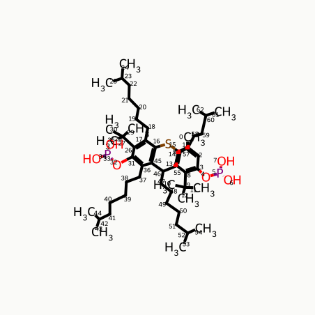 Cc1cc(OP(O)O)c(C(C)(C)C)cc1Sc1c(CCCCCC(C)C)c(C(C)(C)C)c(OP(O)O)c(CCCCCC(C)C)c1C(CCCCCC(C)C)CCCCCC(C)C